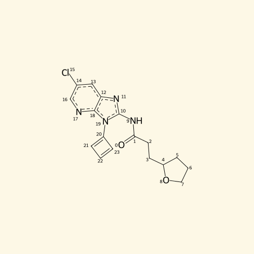 O=C(CCC1CCCO1)Nc1nc2cc(Cl)cnc2n1C1=CC=C1